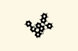 c1ccc(-c2ccc(-c3cccc4oc5cc(N(c6ccccc6)c6ccc7ccccc7c6)c6ccccc6c5c34)cn2)cc1